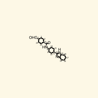 O=Cc1ccc(C(=O)Nc2ccc(-c3nc4ccccc4[nH]3)cc2)cc1